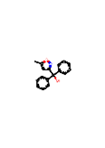 Cc1cc(C(O)(c2ccccc2)c2ccccc2)no1